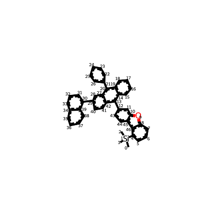 C[Si](C)(C)c1cccc2oc3cc(-c4c5ccccc5c(-c5ccccc5)c5cc(-c6cccc7ccccc67)ccc45)ccc3c12